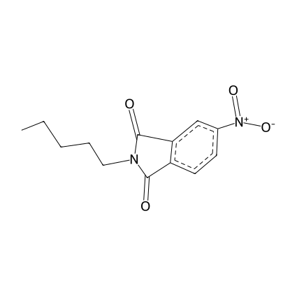 CCCCCN1C(=O)c2ccc([N+](=O)[O-])cc2C1=O